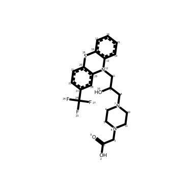 O=C(O)CN1CCN(CC(O)CN2c3ccccc3Sc3ccc(C(F)(F)F)cc32)CC1